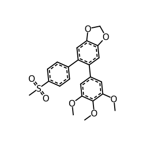 COc1cc(-c2cc3c(cc2-c2ccc(S(C)(=O)=O)cc2)OCO3)cc(OC)c1OC